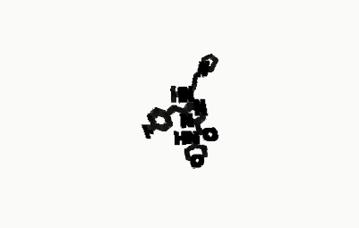 O=C(NC1CCOCC1)c1cnc(NCCN2CCCC2)c(Cc2ccc(F)cc2)n1